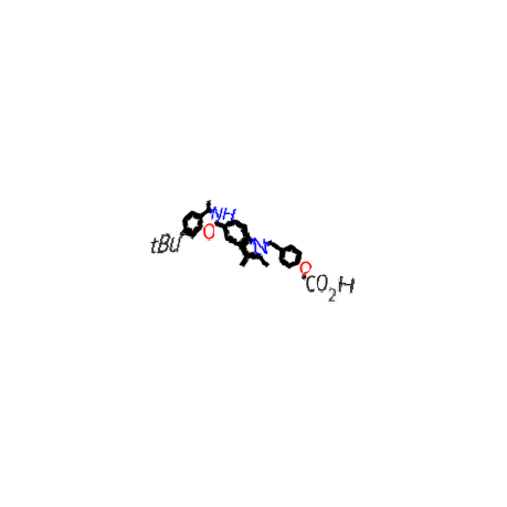 Cc1c(C)n(Cc2ccc(OCC(=O)O)cc2)c2ccc(C(=O)NC(C)c3ccc(C(C)(C)C)cc3)cc12